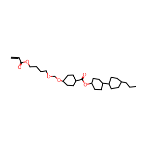 C=CC(=O)OCCCCOCOC1CCC(C(=O)OC2CCC(C3CCC(CCC)CC3)CC2)CC1